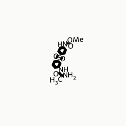 COC(=O)Nc1ccc(S(=O)(=O)c2cccc(NC(=O)C(C)N)c2)cc1